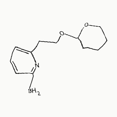 Bc1cccc(CCOC2CCCCO2)n1